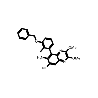 COc1nc2cc(C#N)c(N)c(-c3cccc(OCc4ccccc4)c3C)c2nc1OC